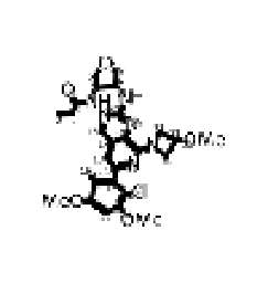 C=CC(=O)N[C@H]1COC[C@H]1Nc1ncc2cc(-c3c(C)c(OC)cc(OC)c3Cl)nc(N3CC(OC)C3)c2n1